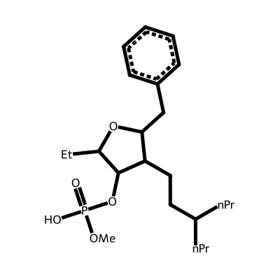 CCCC(CCC)CCC1C(Cc2ccccc2)OC(CC)C1OP(=O)(O)OC